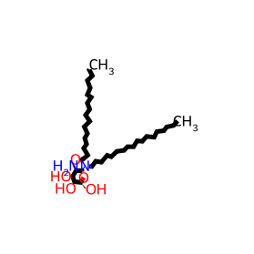 CCCCCCCCCCCCCCCCCCN(C(=O)CCCCCCCCCCCCCCCCC)[C@@H]1O[C@H](CO)[C@H](O)[C@H](O)[C@H]1N